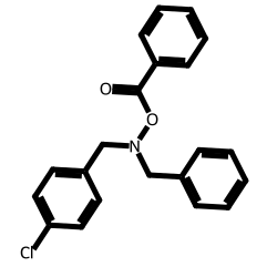 O=C(ON(Cc1ccccc1)Cc1ccc(Cl)cc1)c1ccccc1